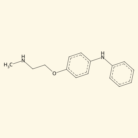 CNCCOc1ccc(Nc2ccccc2)cc1